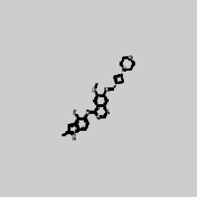 COc1cc2c(Oc3ccc4[nH]c(C)cc4c3F)ncnc2cc1OC[C@H]1C[C@@H](N2CCOCC2)C1